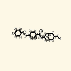 CCC1CC2CC(C1)CC(NC(=O)c1ccc(COc3ccccc3)nc1)C2